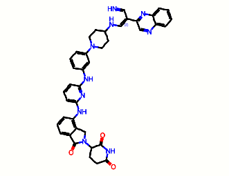 N=C/C(=C\NC1CCN(c2cccc(Nc3cccc(Nc4cccc5c4CN(C4CCC(=O)NC4=O)C5=O)n3)c2)CC1)c1cnc2ccccc2n1